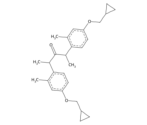 Cc1cc(OCC2CC2)ccc1C(C)C(=O)C(C)c1ccc(OCC2CC2)cc1C